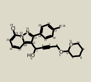 OC(C#CCOC1CCCCO1)c1c(-c2ccc(F)cc2)nn2c(Cl)cccc12